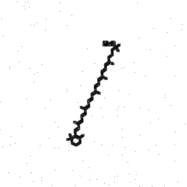 COC(C)(C)CCC/C(C)=C/C=C/C(C)=C/C=C/C(C)=C/C=C/C=C(C)/C=C/C=C(C)/C=C/C1=C(C)CCCC1(C)C